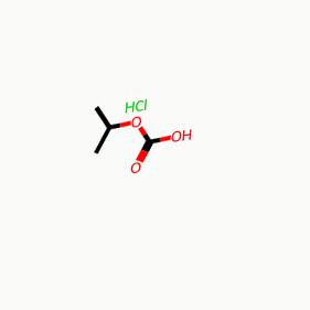 CC(C)OC(=O)O.Cl